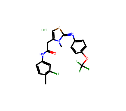 Cc1ccc(NC(=O)Cc2csc(=Nc3ccc(OC(F)(F)F)cc3)n2C)cc1Cl.Cl